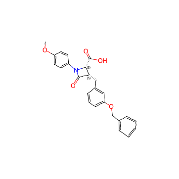 COc1ccc(N2C(=O)[C@@H](Cc3cccc(OCc4ccccc4)c3)[C@H]2C(=O)O)cc1